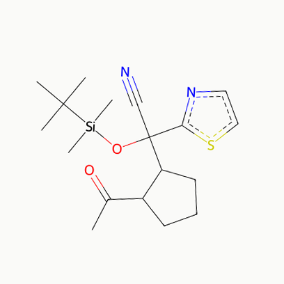 CC(=O)C1CCCC1C(C#N)(O[Si](C)(C)C(C)(C)C)c1nccs1